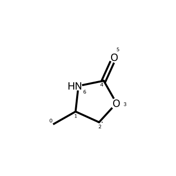 CC1[CH]OC(=O)N1